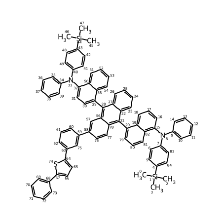 C[Si](C)(C)c1ccc(N(c2ccccc2)c2cccc3c(-c4c5ccccc5c(-c5ccc(N(c6ccccc6)c6ccc([Si](C)(C)C)cc6)c6ccccc56)c5cc(-c6cccc(-c7ccc(-c8ccccc8)s7)c6)ccc45)cccc23)cc1